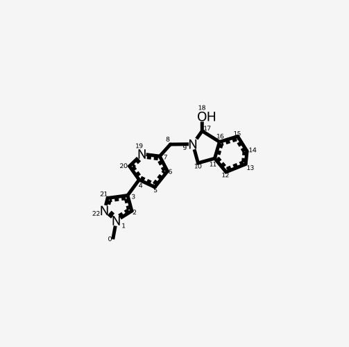 Cn1cc(-c2ccc(CN3Cc4ccccc4C3O)nc2)cn1